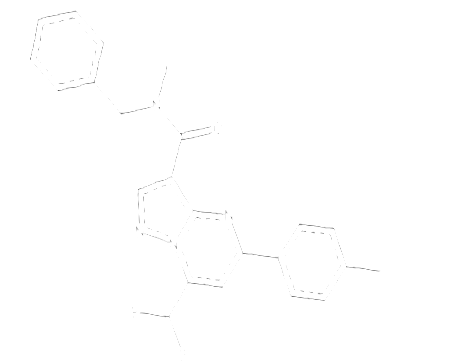 Cc1ccc(-c2cc(C(F)F)n3ncc(C(=O)N(C)Cc4ccccc4)c3n2)cc1